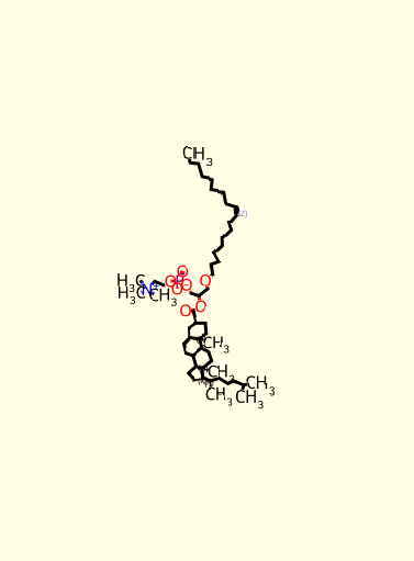 CCCCCCCC/C=C\CCCCCCCCOCC(COP(=O)([O-])OCC[N+](C)(C)C)OC(=O)C1CC[C@@]2(C)C(=CCC3C2CC[C@@]2(C)C3CC[C@@H]2[C@H](C)CCCC(C)C)C1